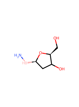 NB[C@@H]1CC(O)[C@H](CO)O1